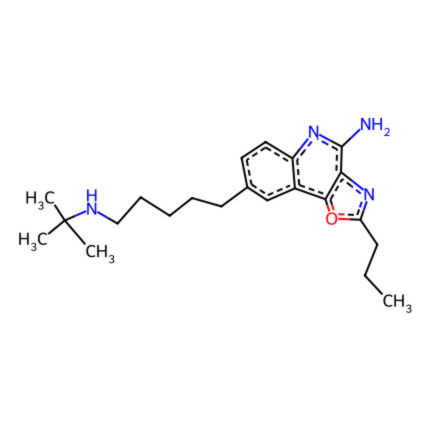 CCCc1nc2c(N)nc3ccc(CCCCCNC(C)(C)C)cc3c2o1